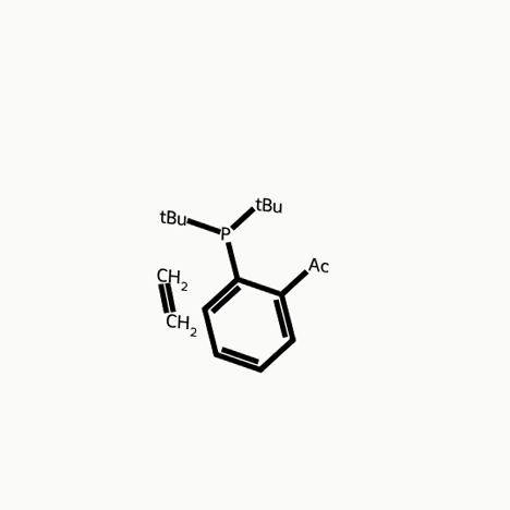 C=C.CC(=O)c1ccccc1P(C(C)(C)C)C(C)(C)C